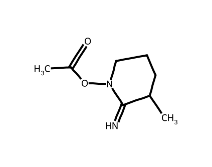 CC(=O)ON1CCCC(C)C1=N